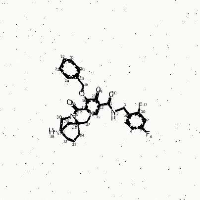 O=C(NCc1ccc(F)cc1F)c1cn2c(c(OCc3ccccc3)c1=O)C(=O)N1C[C@@H]3CCC[C@]1(C3)C2